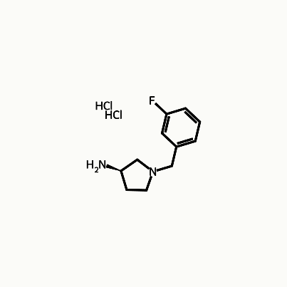 Cl.Cl.N[C@@H]1CCN(Cc2cccc(F)c2)C1